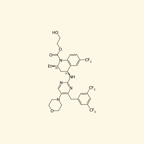 CC[C@@H]1C[C@H](Nc2ncc(N3CCOCC3)c(Cc3cc(C(F)(F)F)cc(C(F)(F)F)c3)n2)c2cc(C(F)(F)F)ccc2N1C(=O)OCCO